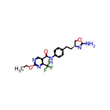 CCOc1ncc(C(=O)Nc2ccc(CC[C@H]3COC(N)=N3)cc2)c(C(F)(F)F)n1